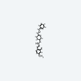 Cc1ccc(C=NNCC2CCC(COCc3ccccc3)CC2)c(F)c1